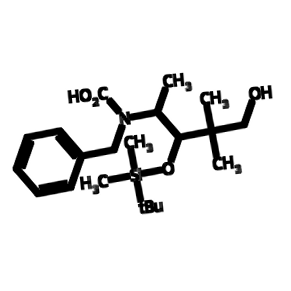 CC(C(O[Si](C)(C)C(C)(C)C)C(C)(C)CO)N(Cc1ccccc1)C(=O)O